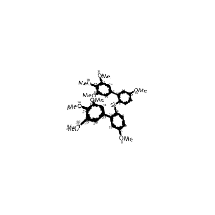 COc1ccc([Se]c2ccc(OC)cc2-c2cc(OC)c(OC)c(OC)c2)c(-c2cc(OC)c(OC)c(OC)c2)c1